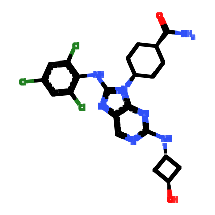 NC(=O)[C@H]1CC[C@@H](n2c(Nc3c(Cl)cc(Cl)cc3Cl)nc3cnc(N[C@H]4C[C@H](O)C4)nc32)CC1